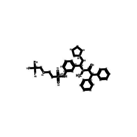 CN(C(=O)C(c1ccccc1)c1ccccc1)C(CN1CCCC1)c1cccc(NS(=O)(=O)CCOCC(F)(F)F)c1